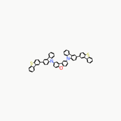 c1ccc2c(c1)sc1ccc(-c3ccc4c(c3)c3ccccc3n4-c3ccc4oc5ccc(-n6c7ccccc7c7cc(-c8ccc9sc%10ccccc%10c9c8)ccc76)cc5c4c3)cc12